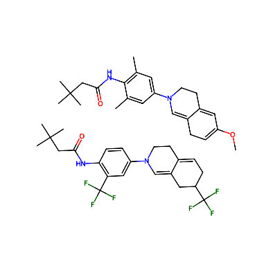 CC(C)(C)CC(=O)Nc1ccc(N2C=C3CC(C(F)(F)F)CC=C3CC2)cc1C(F)(F)F.COC1=CCC2=CN(c3cc(C)c(NC(=O)CC(C)(C)C)c(C)c3)CCC2=C1